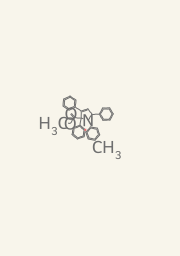 COC(=O)C1(c2ccccc2)C(c2ccccc2)=CC(c2ccccc2)N1c1ccc(C)cc1